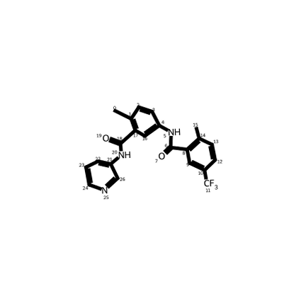 Cc1ccc(NC(=O)c2cc(C(F)(F)F)ccc2C)cc1C(=O)Nc1cccnc1